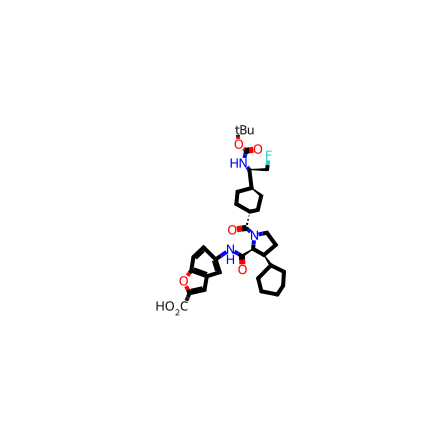 CC(C)(C)OC(=O)N[C@@H](CF)[C@H]1CC[C@H](C(=O)N2CC[C@@H](C3CCCCC3)[C@H]2C(=O)Nc2ccc3oc(C(=O)O)cc3c2)CC1